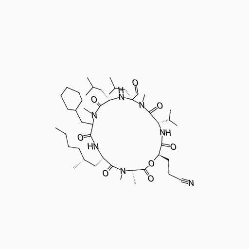 CCCC[C@@H](C)C[C@@H]1NC(=O)C(CC2CCCCC2)N(C)C(=O)[C@H](CC(C)C)N[C@](C=O)(CC(C)C)N(C)C(=O)[C@H](C(C)C)NC(=O)[C@@H](CCC#N)OC(=O)[C@H](C)N(C)C1=O